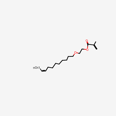 C=C(C)C(=O)OCCOCCCCCCCC/C=C\CCCCCCCC